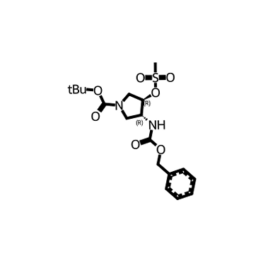 CC(C)(C)OC(=O)N1C[C@@H](NC(=O)OCc2ccccc2)[C@H](OS(C)(=O)=O)C1